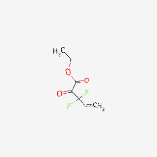 C=CC(F)(F)C(=O)C(=O)OCC